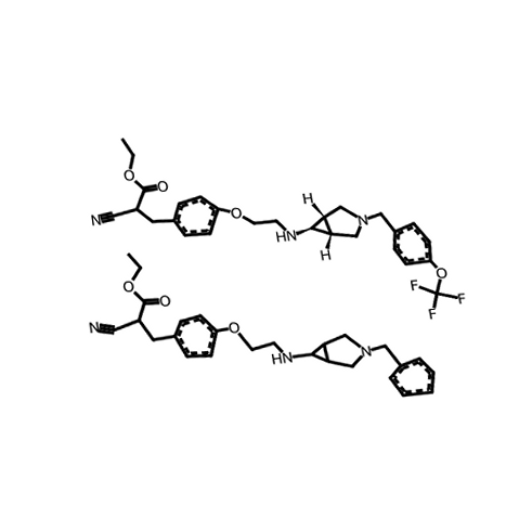 CCOC(=O)C(C#N)Cc1ccc(OCCNC2C3CN(Cc4ccccc4)CC32)cc1.CCOC(=O)C(C#N)Cc1ccc(OCCN[C@H]2[C@@H]3CN(Cc4ccc(OC(F)(F)F)cc4)C[C@@H]32)cc1